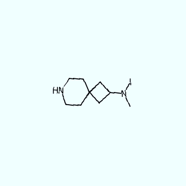 CN(I)C1CC2(CCNCC2)C1